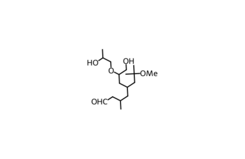 COC(C)(C)CC(CC(C)CC=O)CC(CO)OCC(C)O